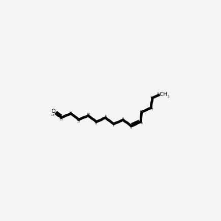 CCCC/C=C\CCCCCCC[C]=O